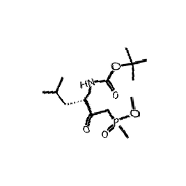 COP(C)(=O)CC(=O)[C@H](CC(C)C)NC(=O)OC(C)(C)C